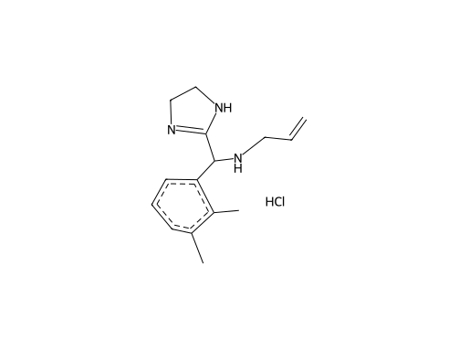 C=CCNC(C1=NCCN1)c1cccc(C)c1C.Cl